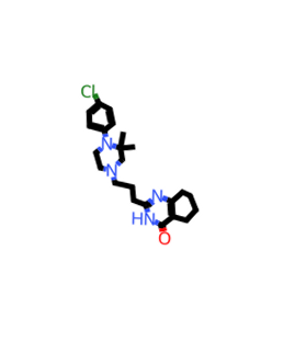 CC1(C)CN(CCCc2nc3c(c(=O)[nH]2)CCCC3)CCN1c1ccc(Cl)cc1